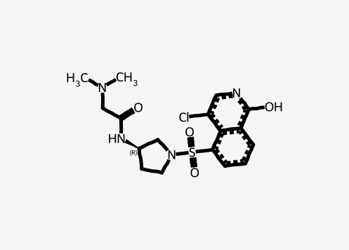 CN(C)CC(=O)N[C@@H]1CCN(S(=O)(=O)c2cccc3c(O)ncc(Cl)c23)C1